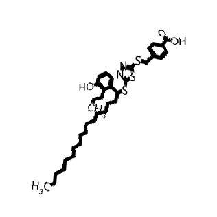 CCCCCCCCCCCCCCCCC(Sc1nnc(SCc2ccc(C(=O)O)cc2)s1)c1cccc(O)c1CCC